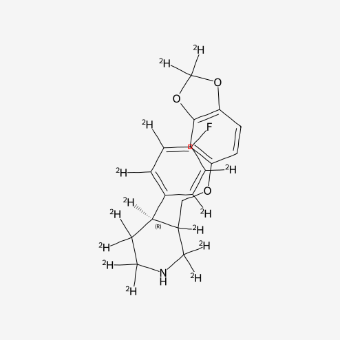 [2H]c1c([2H])c([C@]2([2H])C([2H])([2H])C([2H])([2H])NC([2H])([2H])C2([2H])COc2ccc3c(c2)OC([2H])([2H])O3)c([2H])c([2H])c1F